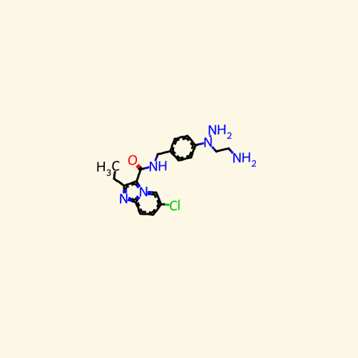 CCc1nc2ccc(Cl)cn2c1C(=O)NCc1ccc(N(N)CCN)cc1